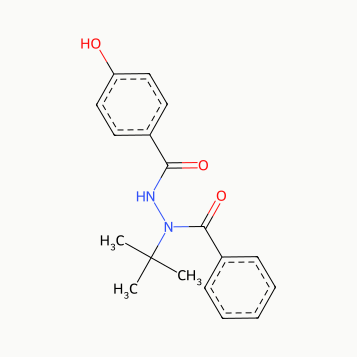 CC(C)(C)N(NC(=O)c1ccc(O)cc1)C(=O)c1ccccc1